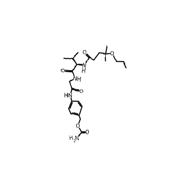 CCCOC(C)(C)CCC(=O)NC(C(=O)NCC(=O)Nc1ccc(COC(N)=O)cc1)C(C)C